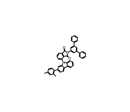 Cc1ccc(-c2ccc3c4ccccc4n(-c4cccc5c4C(=O)N(c4cc(-c6ccccc6)cc(-c6ccccc6)c4)C5=O)c3c2)c(C)c1